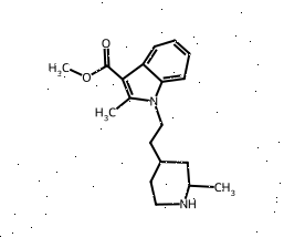 COC(=O)c1c(C)n(CCC2CCNC(C)C2)c2ccccc12